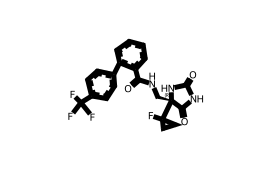 O=C1NC(=O)[C@](CNC(=O)c2ccccc2-c2ccc(C(F)(F)F)cc2)(C2(F)CC2)N1